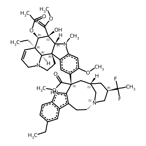 CCc1ccc2[nH]c3c(c2c1)CC[N@]1C[C@@H](C[C@@H](C(C)(F)F)C1)C[C@]3(C(=O)OC)c1cc2c(cc1OC)N(C)[C@H]1[C@@](O)(C(=O)OC)[C@H](OC(C)=O)[C@]3(CC)C=CCN4CC[C@]21[C@@H]43